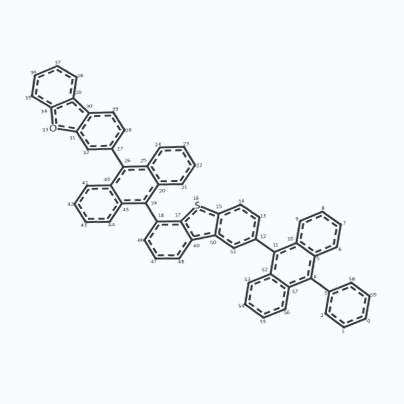 c1ccc(-c2c3ccccc3c(-c3ccc4sc5c(-c6c7ccccc7c(-c7ccc8c(c7)oc7ccccc78)c7ccccc67)cccc5c4c3)c3ccccc23)cc1